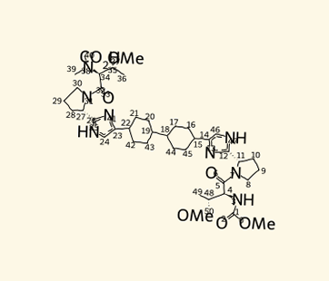 COC(=O)N[C@H](C(=O)N1CCC[C@H]1c1nc(C2CCC(C3CCC(c4c[nH]c([C@@H]5CCCN5C(=O)[C@H]([C@@H](C)OC)N(C)C(=O)O)n4)CC3)CC2)c[nH]1)[C@@H](C)OC